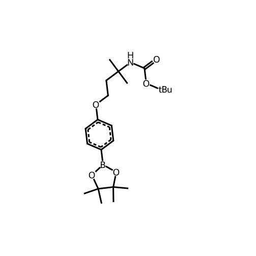 CC(C)(CCOc1ccc(B2OC(C)(C)C(C)(C)O2)cc1)NC(=O)OC(C)(C)C